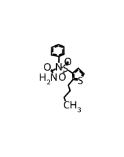 CCCCc1sccc1S(=O)(=O)N(C(N)=O)c1ccccc1